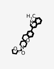 Cc1cccc2cc(-c3ccc4c(c3)CCC3(CCN(C(=O)[C@H]5CCCO5)CC3)O4)cnc12